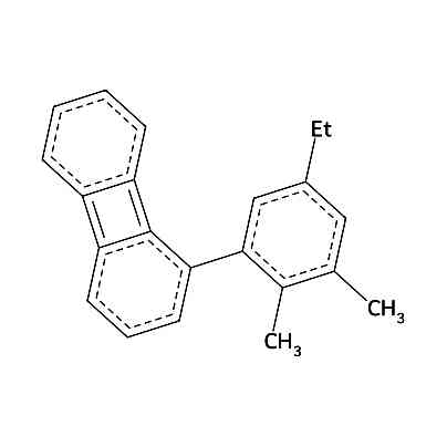 CCc1cc(C)c(C)c(-c2cccc3c2=c2ccccc2=3)c1